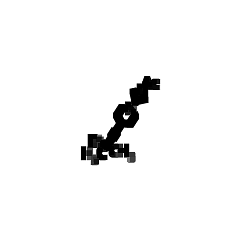 CCC(C)(C)C#CC1CCN(C2CN(C(C)=O)C2)CC1